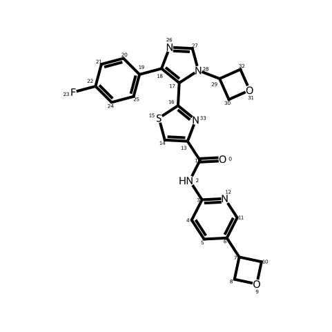 O=C(Nc1ccc(C2COC2)cn1)c1csc(-c2c(-c3ccc(F)cc3)ncn2C2COC2)n1